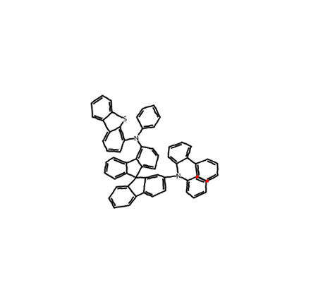 c1ccc(-c2ccccc2N(c2ccccc2)c2ccc3c(c2)C2(c4ccccc4-3)c3ccccc3-c3c(N(c4ccccc4)c4cccc5c4sc4ccccc45)cccc32)cc1